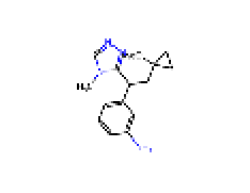 COC1(CC(c2cccc(N)c2)c2nncn2C)CC1